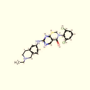 CCN1CCc2cc(Nc3ncc4c(n3)SCN(c3c(Cl)cccc3Cl)C4=O)ccc2C1